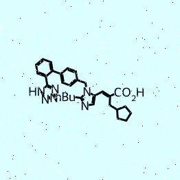 CCCCc1ncc(/C=C(\CC2CCCC2)C(=O)O)n1Cc1ccc(-c2ccccc2-c2nnn[nH]2)cc1